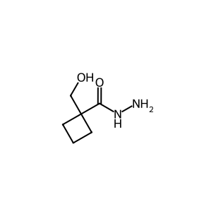 NNC(=O)C1(CO)CCC1